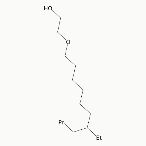 CCC(CCCCCCOCCO)CC(C)C